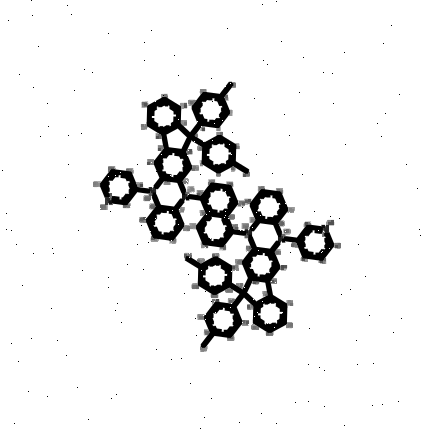 Cc1ccc(C2(c3ccc(C)cc3)c3ccccc3-c3cc4c(cc32)N(c2cccc3c(N5c6ccccc6N(c6cccnc6)c6cc7c(cc65)C(c5ccc(C)cc5)(c5ccc(C)cc5)c5ccccc5-7)cccc23)c2ccccc2N4c2cccnc2)cc1